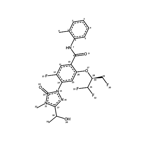 Cc1ccccc1NC(=O)c1cc(F)c(-n2nc(C(C)O)n(C)c2=O)cc1O[C@@H](CF)C(F)F